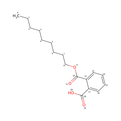 CCCCCCCCCOC(=O)c1ccccc1C(=O)O